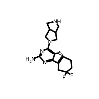 Nc1nc(N2CC3CNCC3C2)c2sc3c(c2n1)CC(F)(F)CC3